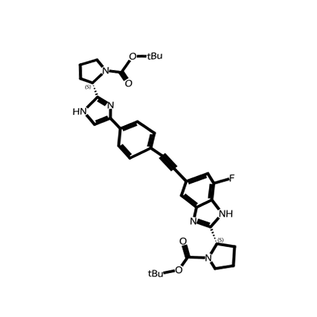 CC(C)(C)OC(=O)N1CCC[C@H]1c1nc(-c2ccc(C#Cc3cc(F)c4[nH]c([C@@H]5CCCN5C(=O)OC(C)(C)C)nc4c3)cc2)c[nH]1